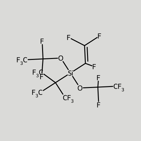 FC(F)=C(F)[Si](OC(F)(F)C(F)(F)F)(OC(F)(F)C(F)(F)F)C(C(F)(F)F)(C(F)(F)F)C(F)(F)F